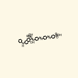 O=S(=O)(O)c1ccc(N=Nc2ccc(N=Nc3ccc(N=Nc4c(S(=O)(=O)O)cc5cc(Nc6ccccc6)ccc5c4O)cc3)cc2)cc1